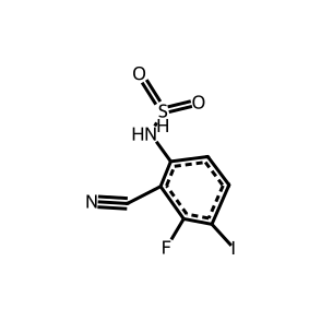 N#Cc1c(N[SH](=O)=O)ccc(I)c1F